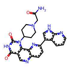 NC(=O)CN1CCC(n2c(=O)[nH]c(=O)c3cnc4ccc(-c5c[nH]c6ncccc56)nc4c32)CC1